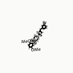 COc1ccc(OC)c(S(=O)(=O)N2CCN(c3nc(Cc4cccc(Br)c4)cs3)CC2)c1